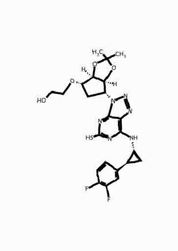 CC1(C)O[C@@H]2[C@H](O1)[C@@H](OCCO)C[C@H]2n1nnc2c(N[C@@H]3C[C@H]3c3ccc(F)c(F)c3)nc(S)nc21